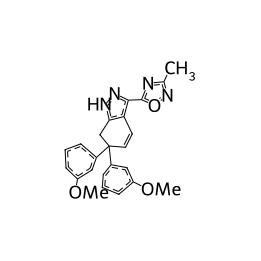 COc1cccc(C2(c3cccc(OC)c3)C=Cc3c(-c4nc(C)no4)n[nH]c3C2)c1